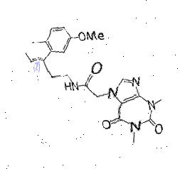 C/C=C(/CCNC(=O)Cn1cnc2c1c(=O)n(C)c(=O)n2C)c1cc(OC)ccc1C